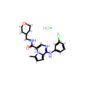 Cc1ccc2c(Nc3cccc(Cl)c3)ncc(C(=O)NCC3CCOCC3)n12.Cl